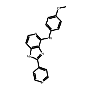 COc1ccc(Nc2nccc3[nH]c(-c4ccncc4)nc23)cc1